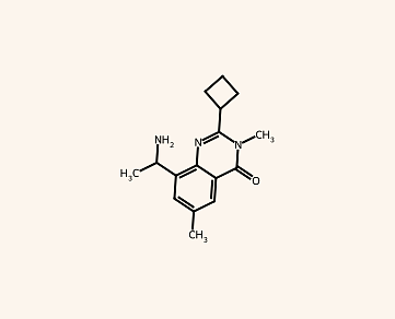 Cc1cc(C(C)N)c2nc(C3CCC3)n(C)c(=O)c2c1